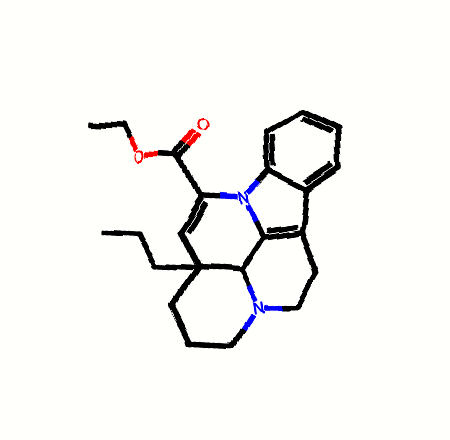 CCCC12C=C(C(=O)OCC)n3c4c(c5ccccc53)CCN(CCC1)C42